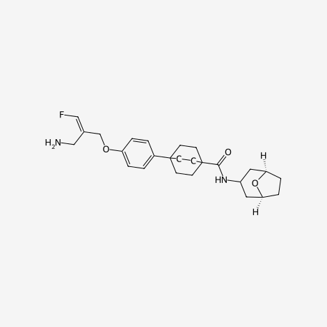 NC/C(=C\F)COc1ccc(C23CCC(C(=O)NC4C[C@H]5CC[C@@H](C4)O5)(CC2)CC3)cc1